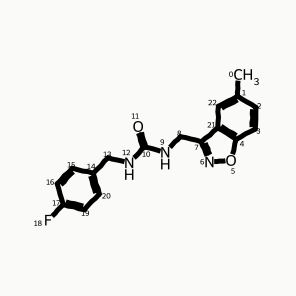 Cc1ccc2onc(CNC(=O)NCc3ccc(F)cc3)c2c1